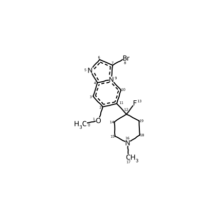 COc1cc2ncc(Br)n2cc1C1(F)CCN(C)CC1